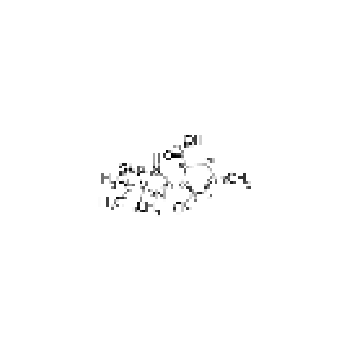 Cc1cc(Cl)c(C2=NC(C)(C(C)C)C(=S)N2)c(C(=O)O)c1